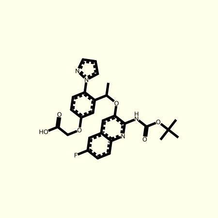 CC(Oc1cc2cc(F)ccc2nc1NC(=O)OC(C)(C)C)c1cc(OCC(=O)O)ccc1-n1cccn1